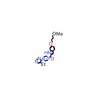 CCc1cncnc1N1CCN(C(=O)c2cc3ccc(OCCCCOC)cc3[nH]2)CC1